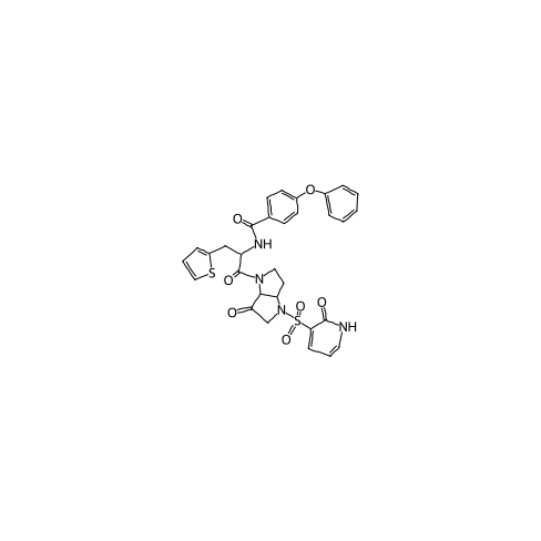 O=C(NC(Cc1cccs1)C(=O)N1CCC2C1C(=O)CN2S(=O)(=O)c1ccc[nH]c1=O)c1ccc(Oc2ccccc2)cc1